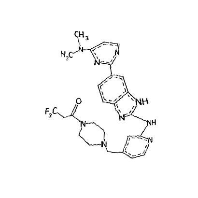 CN(C)c1ccnc(-c2ccc3nc(Nc4cc(CN5CCN(C(=O)CC(F)(F)F)CC5)ccn4)[nH]c3c2)n1